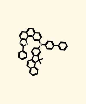 CC1(C)c2cc(N(c3ccc(-c4ccccc4)cc3)c3ccc4ccc5ccc6nc(-c7ccccc7)oc6c5c4c3)ccc2-c2ccc3ccccc3c21